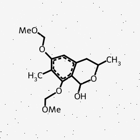 COCOc1cc2c(c(OCOC)c1C)C(O)OC(C)C2